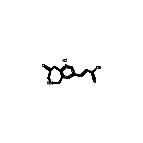 Cl.O=C(O)/C=C/c1cnc2c(c1)CNCC(=O)C2